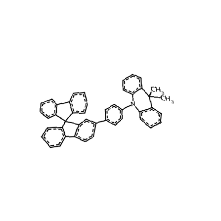 CC1(C)c2ccccc2N(c2ccc(-c3ccc4c(c3)C3(c5ccccc5-c5ccccc53)c3ccccc3-4)cc2)c2ccccc21